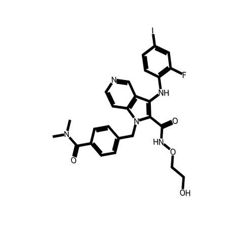 CN(C)C(=O)c1ccc(Cn2c(C(=O)NOCCO)c(Nc3ccc(I)cc3F)c3cnccc32)cc1